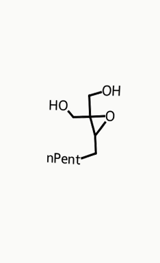 CCCCCCC1OC1(CO)CO